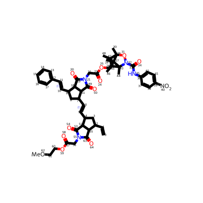 C=CC1CC(/C=C/C2CC(/C=C/c3ccccc3)C3C(=O)N(CC(=O)OCC4(C)C5(C)ON(C(=O)Nc6ccc([N+](=O)[O-])cc6)C4(C)C(C)=C5C)C(=O)C23)C2C(=O)N(CC(=O)OCCOC)C(=O)C12